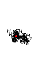 Cc1onc(NS(=O)(=O)c2ccccc2-n2ccc(CN(C=O)c3cc(C(F)(F)F)ccc3C(C)(C)C)c2)c1C